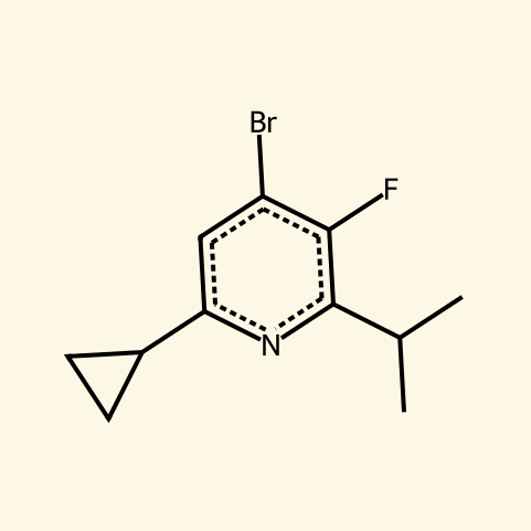 CC(C)c1nc(C2CC2)cc(Br)c1F